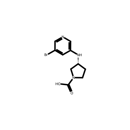 O=C(O)N1CC[C@@H](Nc2cncc(Br)c2)C1